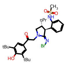 CCC[C@H]1CN(CC(=O)c2cc(C(C)(C)C)c(O)c(C(C)(C)C)c2)/C(=N\Br)[C@@H]1c1ccccc1NS(C)(=O)=O